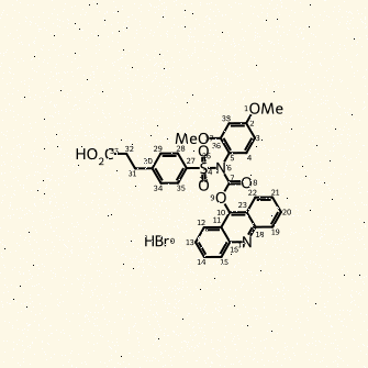 Br.COc1ccc(N(C(=O)Oc2c3ccccc3nc3ccccc23)S(=O)(=O)c2ccc(CCC(=O)O)cc2)c(OC)c1